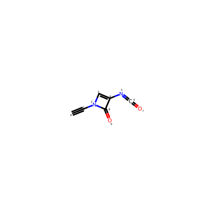 C#CN1C=C(N=C=O)C1=O